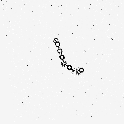 O=C(On1nnc2ccccc21)c1ccc(-c2nnc(-c3ccc(N4CCN(C5CCC6(CC5)OCCO6)CC4)cc3)s2)cc1